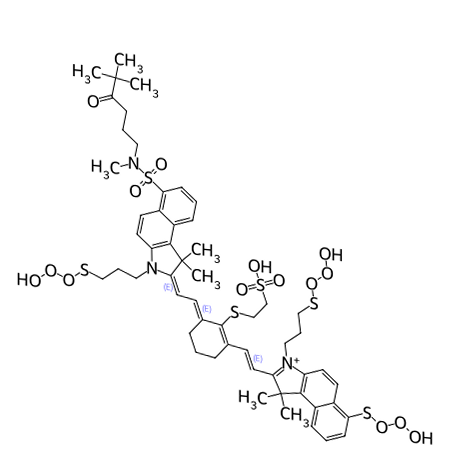 CN(CCCC(=O)C(C)(C)C)S(=O)(=O)c1cccc2c3c(ccc12)N(CCCSOOO)/C(=C/C=C1\CCCC(/C=C/C2=[N+](CCCSOOO)c4ccc5c(SOOO)cccc5c4C2(C)C)=C1SCCS(=O)(=O)O)C3(C)C